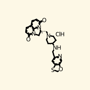 Cl.O=c1ccc2ccc(=O)n3c2n1C[C@H]3CN1CCC(NCc2cc3c(cn2)OCS3)CC1